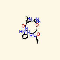 CC#CC(=O)N[C@@H]1CCCOc2c(cnn2C)-c2cc(cc(C)n2)C(=O)/N=C2\Nc3ccccc3N2C1